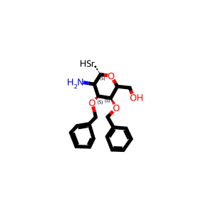 NC1[C@H]([SrH])OC(CO)[C@@H](OCc2ccccc2)[C@H]1OCc1ccccc1